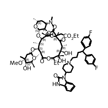 CCOC(=O)CCC(=O)O[C@H]1[C@H](O[C@@H]2[C@@H](C)[C@H](O[C@H]3C[C@@](C)(OC)[C@@H](O)[C@H](C)O3)[C@@H](C)C(=O)O[C@H](CC)[C@@](C)(O)[C@H](O)[C@@H](C)C(=O)[C@H](C)C[C@@]2(C)O)O[C@H](C)C[C@@H]1N(C)C.O=c1[nH]c2ccccc2n1C1CCN(CCCC(c2ccc(F)cc2)c2ccc(F)cc2)CC1